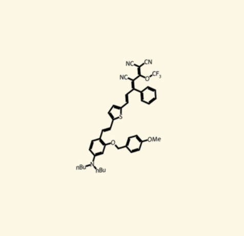 CCCCN(CCCC)c1ccc(/C=C/c2ccc(/C=C/C(=C(\C#N)C(OC(F)(F)F)=C(C#N)C#N)c3ccccc3)s2)c(OCc2ccc(OC)cc2)c1